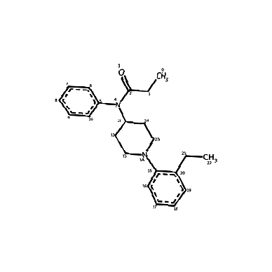 CCC(=O)N(c1ccccc1)C1CCN(c2ccccc2CC)CC1